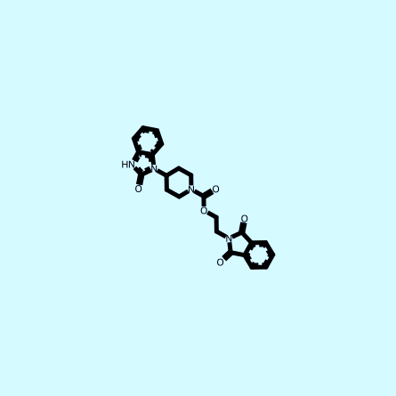 O=C(OCCN1C(=O)c2ccccc2C1=O)N1CCC(n2c(=O)[nH]c3ccccc32)CC1